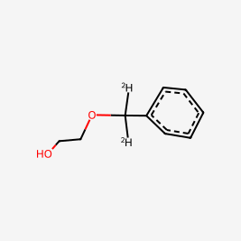 [2H]C([2H])(OCCO)c1ccccc1